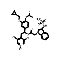 CS(=O)(=O)Nc1cn(CC(=O)OC(Cc2c(Cl)c[n+]([O-])cc2Cl)c2ccc(OC(F)F)c(OCC3CC3)c2)c2ccccc12